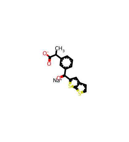 CC(C(=O)[O-])c1cccc(C(=O)c2cc3ccsc3s2)c1.[Na+]